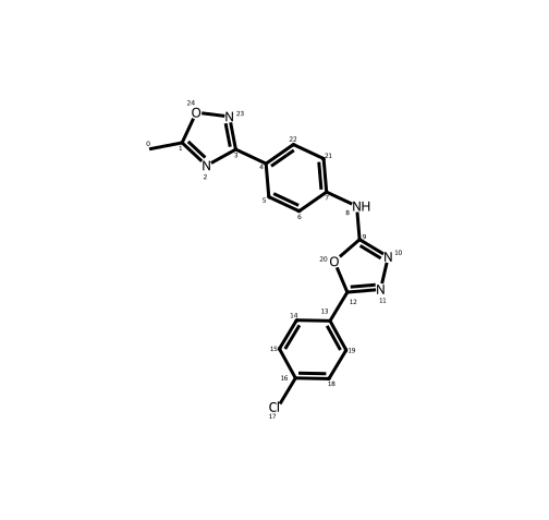 Cc1nc(-c2ccc(Nc3nnc(-c4ccc(Cl)cc4)o3)cc2)no1